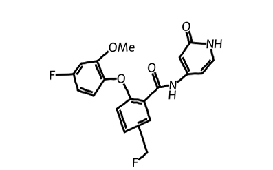 COc1cc(F)ccc1Oc1ccc(CF)cc1C(=O)Nc1cc[nH]c(=O)c1